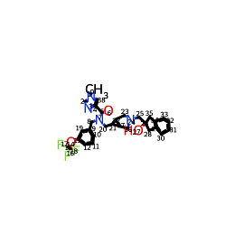 Cn1cnc(C(=O)N(Cc2cccc(OC(F)(F)F)c2)CC2C3CN(CC4(O)Cc5ccccc5C4)CC32)c1